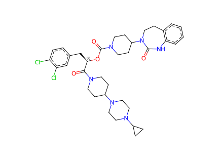 O=C(O[C@H](Cc1ccc(Cl)c(Cl)c1)C(=O)N1CCC(N2CCN(C3CC3)CC2)CC1)N1CCC(N2CCc3ccccc3NC2=O)CC1